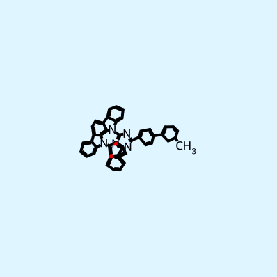 CC1C=CC=C(c2ccc(-c3nc(-c4ccccc4)nc(-n4c5ccccc5c5ccc6c7ccccc7n(-c7ccccc7)c6c54)n3)cc2)C1